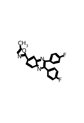 Cc1cnc(-c2ccc3nc(-c4ccc(F)cc4)c(-c4ccc(F)cc4)nc3c2)o1